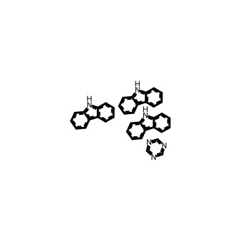 c1ccc2c(c1)[nH]c1ccccc12.c1ccc2c(c1)[nH]c1ccccc12.c1ccc2c(c1)[nH]c1ccccc12.c1ncncn1